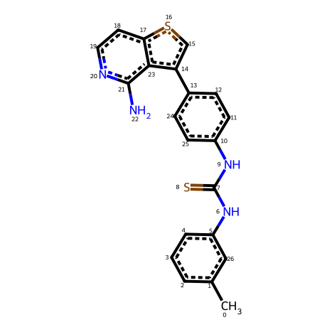 Cc1cccc(NC(=S)Nc2ccc(-c3csc4ccnc(N)c34)cc2)c1